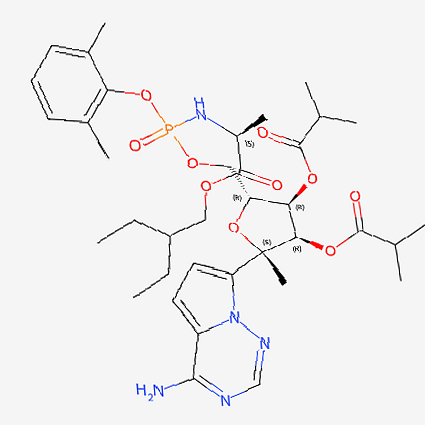 CCC(CC)COC(=O)[C@H](C)NP(=O)(OC[C@H]1O[C@@](C)(c2ccc3c(N)ncnn23)[C@H](OC(=O)C(C)C)[C@@H]1OC(=O)C(C)C)Oc1c(C)cccc1C